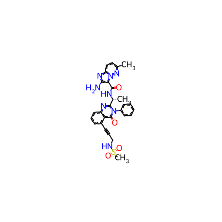 Cc1ccc2nc(N)c(C(=O)N[C@H](C)c3nc4cccc(C#CCNS(C)(=O)=O)c4c(=O)n3-c3ccccc3)n2n1